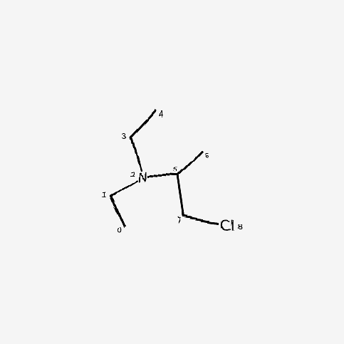 CCN(CC)C(C)CCl